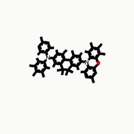 Cc1cc(C)c(N(c2c(C)c(C)c(C)c(C)c2C)c2c(C)c(C)c3c(c2C)C(C)(C)C(C)(C)c2c(C)c(N(c4c(C)cc(C)cc4C)c4c(C)c(C)c(C)c(C)c4C)c(C)c(C)c2-3)c(C)c1